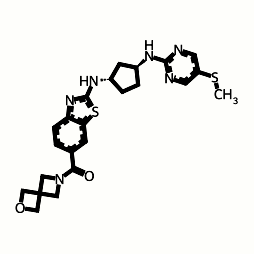 CSc1cnc(N[C@H]2CC[C@H](Nc3nc4ccc(C(=O)N5CC6(COC6)C5)cc4s3)C2)nc1